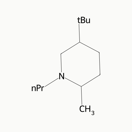 CCCN1CC(C(C)(C)C)CCC1C